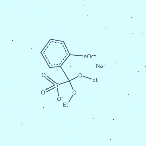 CCCCCCCCc1ccccc1C(OCC)(OCC)S(=O)(=O)[O-].[Na+]